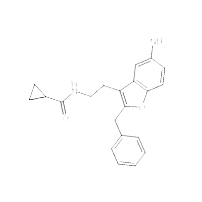 Nc1ccc2oc(Cc3ccccc3)c(CCNC(=O)C3CC3)c2c1